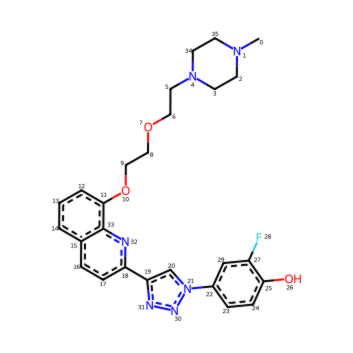 CN1CCN(CCOCCOc2cccc3ccc(-c4cn(-c5ccc(O)c(F)c5)nn4)nc23)CC1